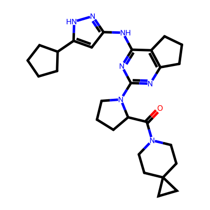 O=C(C1CCCN1c1nc2c(c(Nc3cc(C4CCCC4)[nH]n3)n1)CCC2)N1CCC2(CC1)CC2